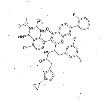 C[S+]([O-])NC(=N)c1c(Cl)ccc(-n2c(C(Cc3cc(F)cc(F)c3)NC(=O)Cn3ccc(C4CC4)n3)nc3nc(-c4ccccc4F)ccc3c2=O)c1NCC(F)(F)F